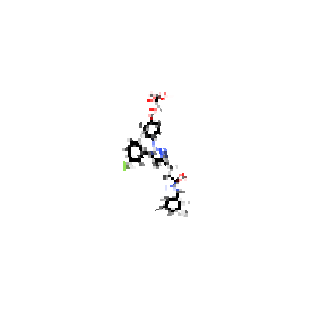 O=C(O)COc1ccc(-n2nc(CCC(=O)NCc3ccccc3)cc2-c2cccc(F)c2)cc1